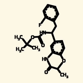 CC1Oc2ccc(C(Cc3ccccc3F)NC(=O)OC(C)(C)C)cc2NC1=O